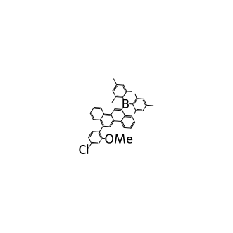 COc1cc(Cl)ccc1-c1cc2c3ccccc3c(B(c3c(C)cc(C)cc3C)c3c(C)cc(C)cc3C)cc2c2ccccc12